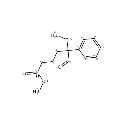 CO[PH](=O)CCCC(C=O)(OC)c1ccccc1